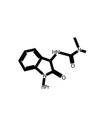 CCCN1C(=O)C(NC(=O)N(C)C)c2ccccc21